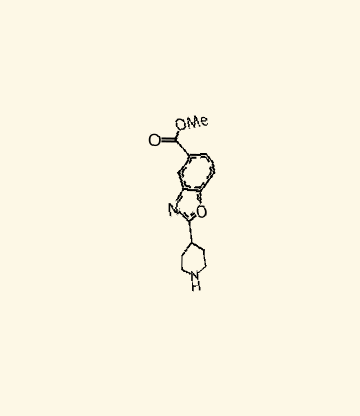 COC(=O)c1ccc2oc(C3CCNCC3)nc2c1